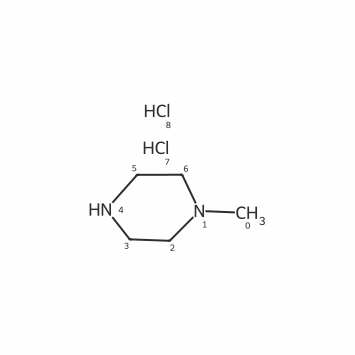 CN1CCNCC1.Cl.Cl